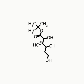 CC(C)(C)OC(=O)C(O)[C@H](O)C(O)CCO